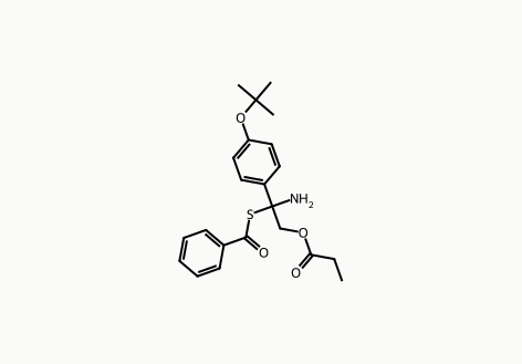 CCC(=O)OCC(N)(SC(=O)c1ccccc1)c1ccc(OC(C)(C)C)cc1